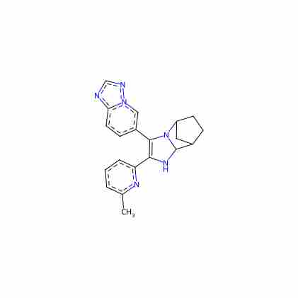 Cc1cccc(C2=C(c3ccc4ncnn4c3)N3C4CCC(C4)C3N2)n1